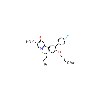 COCCCOc1cc2c(cc1-c1ccc(F)cc1)-c1cc(=O)c(C(=O)O)cn1C[C@@H]2CCC(C)C